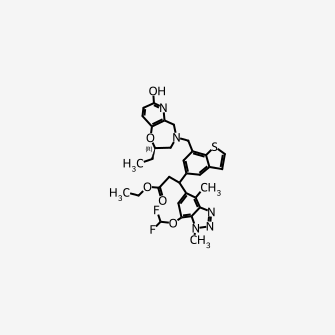 CCOC(=O)CC(c1cc(CN2Cc3nc(O)ccc3O[C@H](CC)C2)c2sccc2c1)c1cc(OC(F)F)c2c(nnn2C)c1C